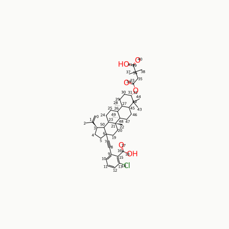 C=C(C)[C@@H]1CCC2(C#Cc3cccc(Cl)c3C(=O)O)CC[C@]3(C)C(CCC4[C@@]5(C)CC[C@H](OC(=O)CC(C)(C)C(=O)O)C(C)(C)C5CC[C@]43C)C12